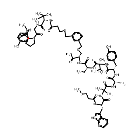 CC[C@H](NC(=O)[C@@](C)(NC(=O)[C@H](Cc1ccc(O)cc1)NC(=O)[C@H](C)NC(=O)C(C)(C)NC(=O)[C@H](Cc1c[nH]c2ncccc12)NC(=O)CCOC)C(C)C)C(=O)N[C@H](CSCc1cccc(CSCCC(=O)N[C@H](C(=O)N[C@@H](Cc2ccc(O)cc2)C(=O)N2CCC[C@H]2C(=O)NC)C(C)(C)C)c1)C(N)=O